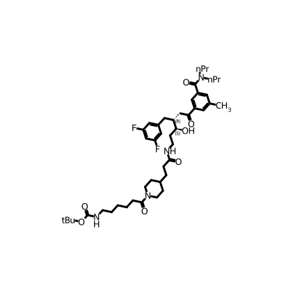 CCCN(CCC)C(=O)c1cc(C)cc(C(=O)C[C@@H](Cc2cc(F)cc(F)c2)[C@@H](O)CCNC(=O)CCC2CCN(C(=O)CCCCCNC(=O)OC(C)(C)C)CC2)c1